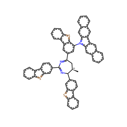 C[C@@H]1CC(c2cc(-n3c4cc5ccccc5cc4c4cc5ccccc5cc43)c3sc4ccccc4c3c2)=NC(c2ccc3c(c2)sc2ccccc23)=NC1c1ccc2c(c1)sc1ccccc12